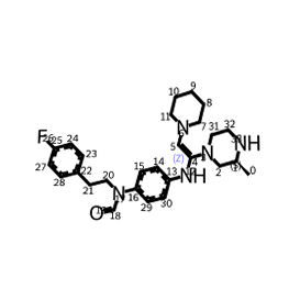 C[C@H]1CN(/C(=C\N2CCCCC2)Nc2ccc(N(C=O)CCc3ccc(F)cc3)cc2)CCN1